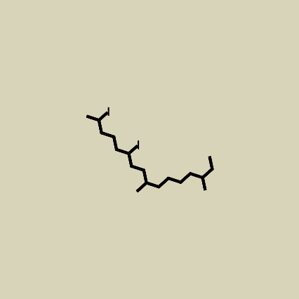 CCC(C)CCCCC(C)CCC(I)CCCC(C)I